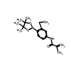 C=C(C)C(=O)Nc1ccc(B2OC(C)(C)C(C)(C)O2)c(CC)c1